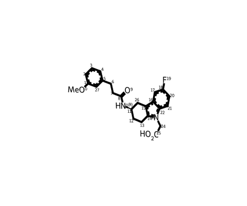 COc1cccc(CCC(=O)N[C@@H]2CCc3c(c4cc(F)ccc4n3CC(=O)O)C2)c1